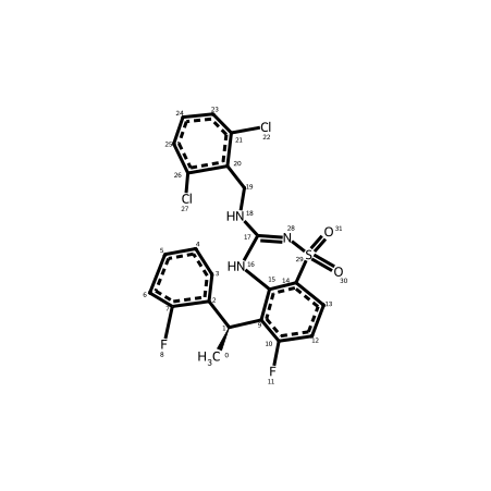 C[C@@H](c1ccccc1F)c1c(F)ccc2c1NC(NCc1c(Cl)cccc1Cl)=NS2(=O)=O